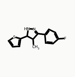 CC1C(c2ccc(F)cc2)=NNC1c1cccs1